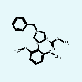 COC(=O)[C@H]1CN(Cc2ccccc2)C[C@@H]1c1c(OC)cccc1OC